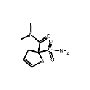 CN(C)C(=O)C1(S(N)(=O)=O)CC=CS1